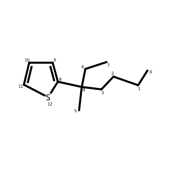 CCCCC(C)(CC)c1cccs1